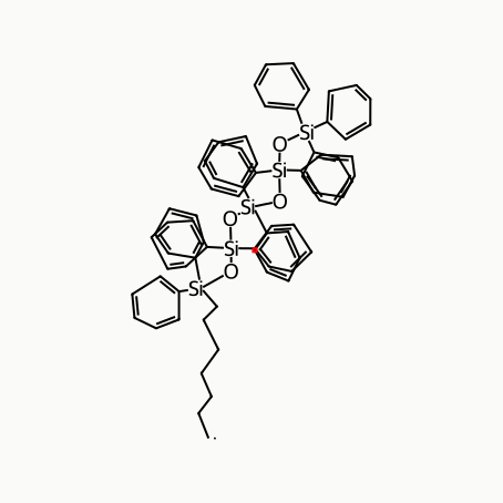 [CH2]CCCCCC[Si](O[Si](O[Si](O[Si](O[Si](c1ccccc1)(c1ccccc1)c1ccccc1)(c1ccccc1)c1ccccc1)(c1ccccc1)c1ccccc1)(c1ccccc1)c1ccccc1)(c1ccccc1)c1ccccc1